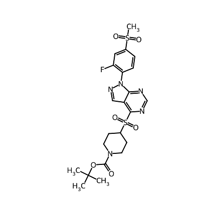 CC(C)(C)OC(=O)N1CCC(S(=O)(=O)c2ncnc3c2cnn3-c2ccc(S(C)(=O)=O)cc2F)CC1